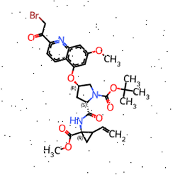 C=CC1C[C@]1(NC(=O)[C@@H]1C[C@@H](Oc2cc(OC)cc3nc(C(=O)CBr)ccc23)CN1C(=O)OC(C)(C)C)C(=O)OC